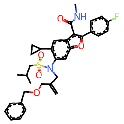 C=C(COCc1ccccc1)CN(c1cc2oc(-c3ccc(F)cc3)c(C(=O)NC)c2cc1C1CC1)S(=O)(=O)CC(C)C